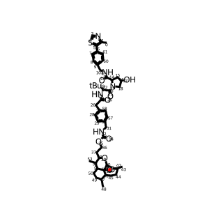 Cc1ncsc1-c1ccc(CNC(=O)C2CC(O)CN2C(=O)C(NC(=O)Cc2ccc(CNC(=O)OCCC3OC4OC5(C)CCC6C(C)CCC(C3C)C46OO5)cc2)C(C)(C)C)cc1